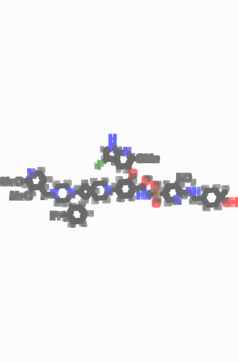 COc1nc2[nH]cc(F)c2cc1Oc1cc(N2CCC3(CC2)CC(N2CCN(Cc4ccnc(OC)c4OC)C[C@H]2c2ccccc2C(C)C)C3)ccc1C(=O)NS(=O)(=O)c1cnc(NCC2CCC(C)(O)CC2)c([N+](=O)[O-])c1